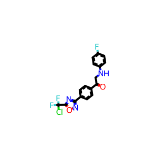 O=C(CNc1ccc(F)cc1)c1ccc(-c2noc(C(F)(F)Cl)n2)cc1